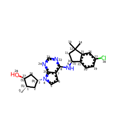 [CH2][C@H]1C[C@@H](n2ccc3c(N[C@H]4CC(C)(C)c5cc(Cl)ccc54)ncnc32)C[C@@H]1O